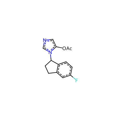 CC(=O)Oc1cncn1C1CCc2cc(F)ccc21